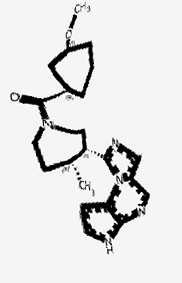 CO[C@H]1CCC[C@@H](C(=O)N2CC[C@@H](C)[C@@H](c3ncc4cnc5[nH]ccc5n34)C2)C1